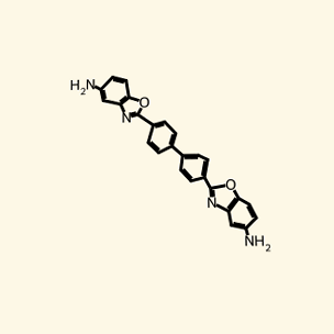 Nc1ccc2oc(-c3ccc(-c4ccc(-c5nc6cc(N)ccc6o5)cc4)cc3)nc2c1